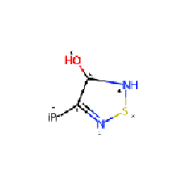 CC(C)C1=NSNC1O